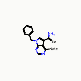 CNc1ncnc2c1c(C(N)=[Se])cn2Cc1ccccc1